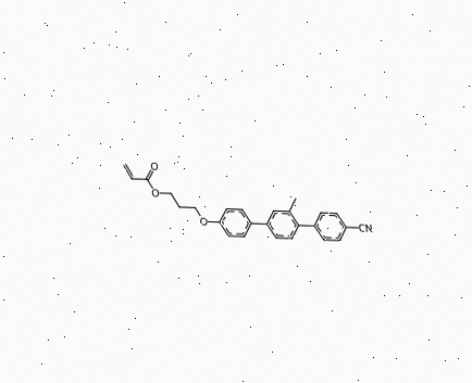 C=CC(=O)OCCCOc1ccc(-c2ccc(-c3ccc(C#N)cc3)c(C)c2)cc1